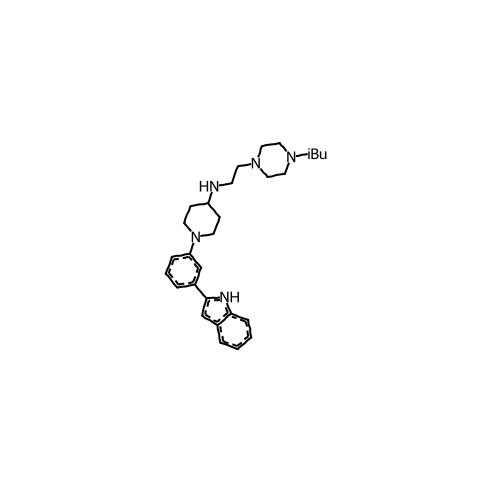 CCC(C)N1CCN(CCNC2CCN(c3cccc(-c4cc5ccccc5[nH]4)c3)CC2)CC1